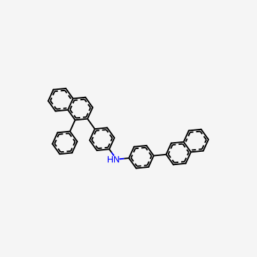 c1ccc(-c2c(-c3ccc(Nc4ccc(-c5ccc6ccccc6c5)cc4)cc3)ccc3ccccc23)cc1